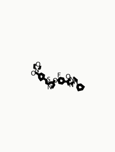 O=C(c1ccc(-c2cc3nccc(Oc4ccc(-c5cnc6n(c5=O)CCN6c5ccccc5)cc4F)c3s2)cc1)N1CCOCC1